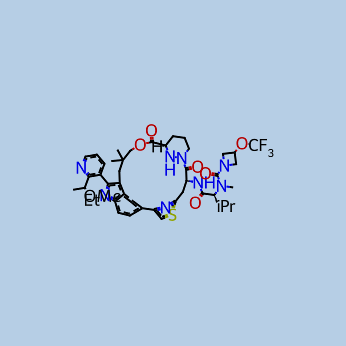 CCn1c(-c2cccnc2[C@H](C)OC)c2c3cc(ccc31)-c1csc(n1)C[C@H](NC(=O)[C@H](C(C)C)N(C)C(=O)N1CC(OC(F)(F)F)C1)C(=O)N1CCC[C@H](N1)C(=O)OCC(C)(C)C2